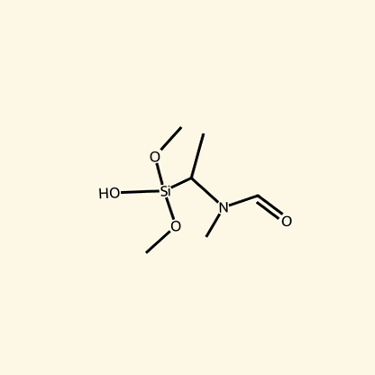 CO[Si](O)(OC)C(C)N(C)C=O